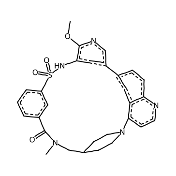 COc1ncc2cc1NS(=O)(=O)c1cccc(c1)C(=O)N(C)CC1CCN(CC1)c1ccnc3ccc-2cc13